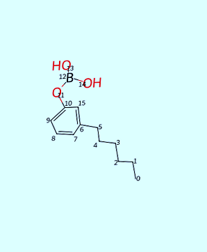 CCCCCCc1cccc(OB(O)O)c1